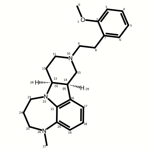 COc1ccccc1CCN1CC[C@H]2[C@@H](C1)c1cccc3c1N2CCCN3C